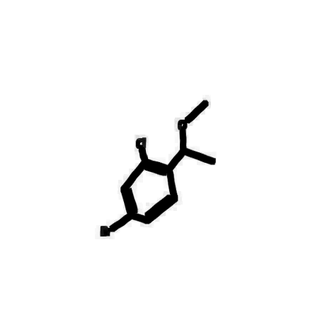 COC(C)c1ccc(Br)cc1Cl